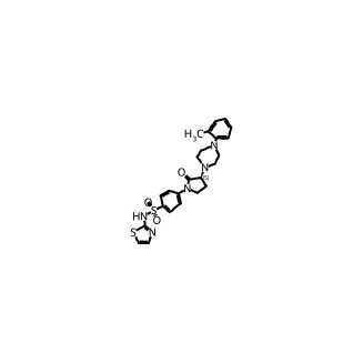 Cc1ccccc1N1CCN([C@H]2CCN(c3ccc(S(=O)(=O)Nc4nccs4)cc3)C2=O)CC1